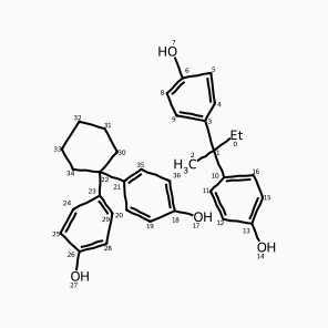 CCC(C)(c1ccc(O)cc1)c1ccc(O)cc1.Oc1ccc(C2(c3ccc(O)cc3)CCCCC2)cc1